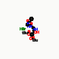 Br.CC(C)(CNC(=O)[C@@H]1CCCN1C(=O)Cc1ccccc1)NCC(O)c1cc(OC(=O)C(C)(C)C)cc(OC(=O)C(C)(C)C)c1